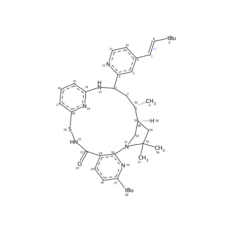 C[C@H]1CC(c2cc(/C=C/C(C)(C)C)ccn2)Nc2cccc(n2)SNC(=O)c2ccc(C(C)(C)C)nc2N2C[C@@H]1CC2(C)C